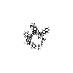 O=C1CCC(=O)N[C@H](Cc2ccc3ccccc3c2)C(=O)N[C@@H](Cc2ccc(C(F)(F)F)cc2)C(=O)N[C@H](Cc2ccccc2)C(=O)N[C@H](C(=O)O)Cc2ccc(cc2)N1